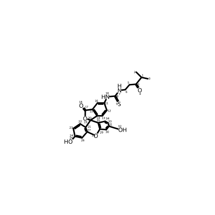 CC(C)C(=O)CCNC(=S)Nc1ccc2c(c1)C(=O)OC21c2ccc(O)cc2Oc2cc(O)ccc21